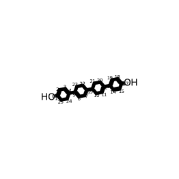 OC1=CC=C(C2=CCC(C3CC=C(c4ccc(O)cc4)CC3)CC2)CC1